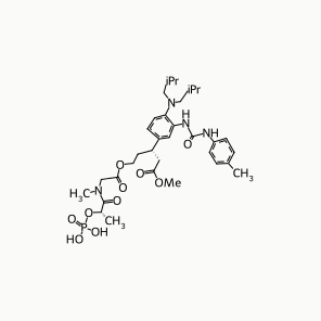 COC(=O)C[C@H](CCOC(=O)CN(C)C(=O)[C@H](C)OP(=O)(O)O)c1ccc(N(CC(C)C)CC(C)C)c(NC(=O)Nc2ccc(C)cc2)c1